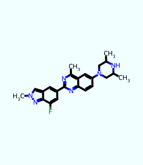 Cc1nc(-c2cc(F)c3nn(C)cc3c2)nc2ccc(N3CC(C)NC(C)C3)cc12